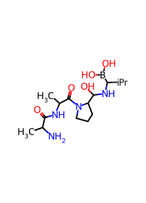 CC(N)C(=O)NC(C)C(=O)N1CCCC1C(O)NC(B(O)O)C(C)C